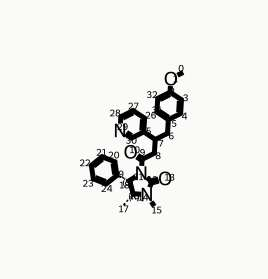 COc1ccc(CC(CC(=O)N2C(=O)N(C)[C@H](C)[C@@H]2c2ccccc2)c2cccnc2)cc1